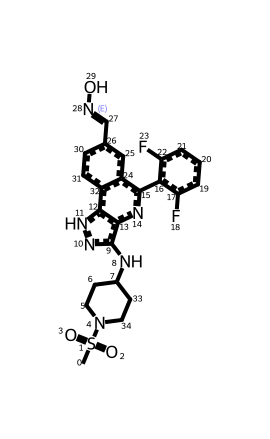 CS(=O)(=O)N1CCC(Nc2n[nH]c3c2nc(-c2c(F)cccc2F)c2cc(/C=N/O)ccc23)CC1